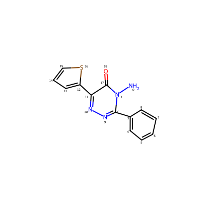 Nn1c(-c2ccccc2)nnc(-c2cccs2)c1=O